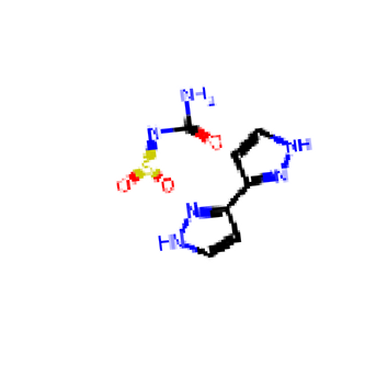 NC(=O)N=S(=O)=O.c1cc(-c2cc[nH]n2)n[nH]1